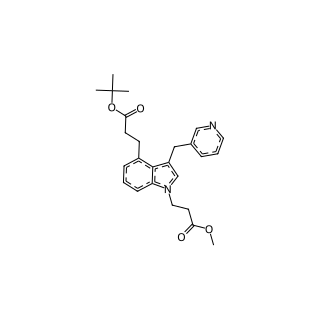 COC(=O)CCn1cc(Cc2cccnc2)c2c(CCC(=O)OC(C)(C)C)cccc21